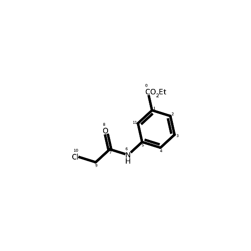 CCOC(=O)c1cccc(NC(=O)CCl)c1